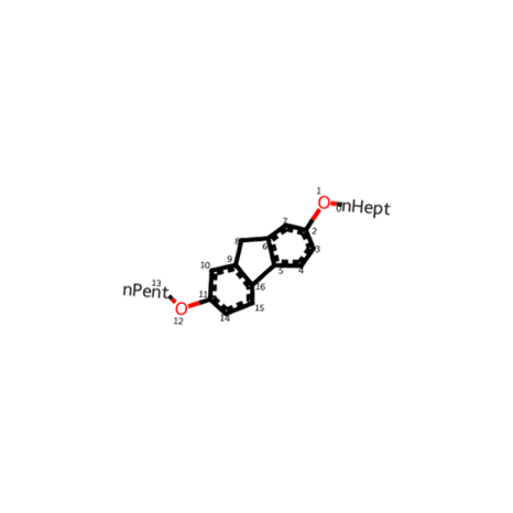 CCCCCCCOc1ccc2c(c1)Cc1cc(OCCCCC)ccc1-2